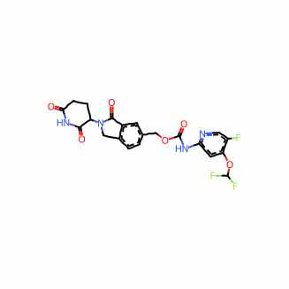 O=C1CCC(N2Cc3ccc(COC(=O)Nc4cc(OC(F)F)c(F)cn4)cc3C2=O)C(=O)N1